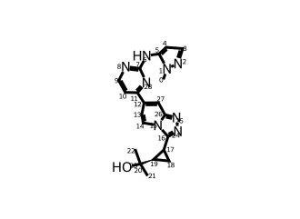 Cn1nccc1Nc1nccc(-c2ccn3c(C4C[C@H]4C(C)(C)O)nnc3c2)n1